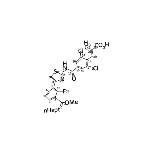 CCCCCCCC(OC)c1cccc(-c2csc(NC(=O)c3cc(Cl)c(C=C(C)C(=O)O)c(Cl)c3)n2)c1F